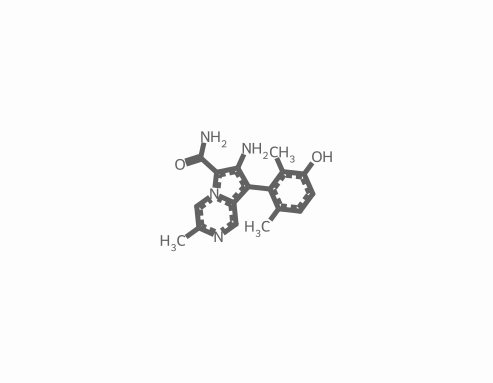 Cc1cn2c(C(N)=O)c(N)c(-c3c(C)ccc(O)c3C)c2cn1